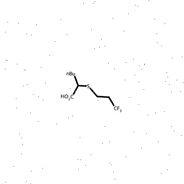 CCCCC(SCCC(F)(F)F)C(=O)O